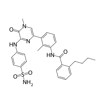 CCCCc1ccccc1C(=O)Nc1cccc(-c2cn(C)c(=O)c(Nc3ccc(S(N)(=O)=O)cc3)n2)c1C